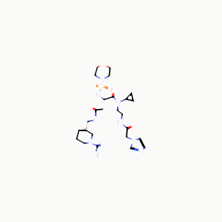 N=C(N)N1CCC[C@@H](CNC(=O)C[C@H](NS(=O)(=O)N2CCOCC2)C(=O)N(CCNC(=O)Cn2ccnc2)C2CC2)C1